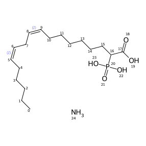 CCCCC/C=C\C/C=C\CCCCCCC(C(=O)O)P(=O)(O)O.N